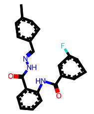 Cc1ccc(/C=N/NC(=O)c2ccccc2NC(=O)c2cccc(F)c2)cc1